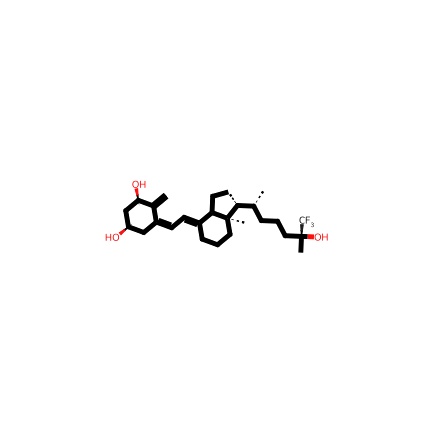 C=C1/C(=C\C=C2CCC[C@@]3(C)C2CC[C@@H]3[C@H](C)CCC[C@@](C)(O)C(F)(F)F)C[C@@H](O)C[C@H]1O